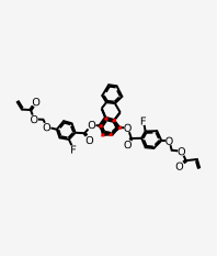 C=CC(=O)OCOc1ccc(C(=O)Oc2ccc(OC(=O)c3ccc(OCOC(=O)C=C)cc3F)c3c2C2c4ccccc4C3c3ccccc32)c(F)c1